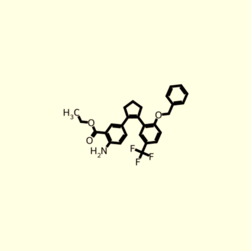 CCOC(=O)c1cc(C2=C(c3cc(C(F)(F)F)ccc3OCc3ccccc3)CCC2)ccc1N